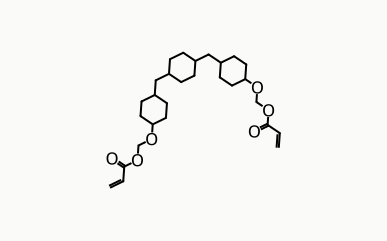 C=CC(=O)OCOC1CCC(CC2CCC(CC3CCC(OCOC(=O)C=C)CC3)CC2)CC1